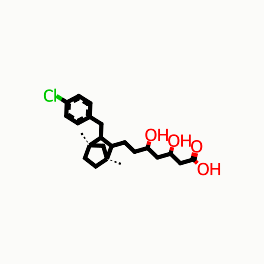 C[C@]12CC[C@](C)(C1)C(Cc1ccc(Cl)cc1)C2CCC(O)CC(O)CC(=O)O